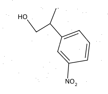 [CH2]C(CO)c1cccc([N+](=O)[O-])c1